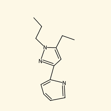 CCCn1nc(-c2ccccn2)cc1CC